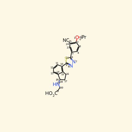 CC(C)Oc1ccc(-c2nnc(-c3cccc4c3CC[C@H]4NCC(=O)O)s2)cc1C#N